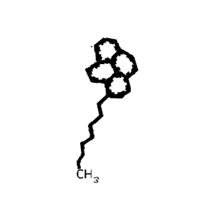 CCCCCCCCc1ccc2ccc3cc[c]c4ccc1c2c43